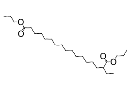 CCCOC(=O)CCCCCCCCCCCCCCC(CC)C(=O)OCCC